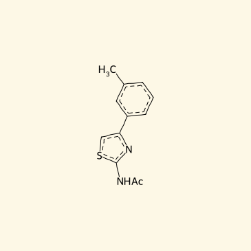 CC(=O)Nc1nc(-c2cccc(C)c2)cs1